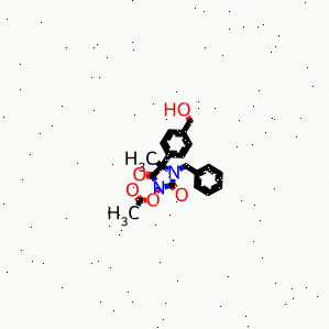 CC(=O)ON1C(=O)N(Cc2ccccc2)C(C)(c2ccc(CO)cc2)C1=O